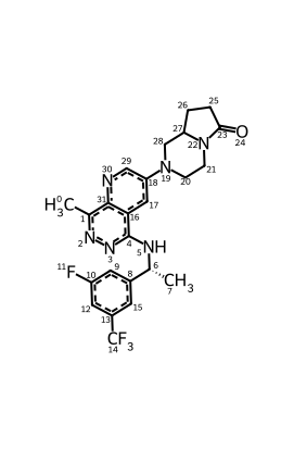 Cc1nnc(N[C@H](C)c2cc(F)cc(C(F)(F)F)c2)c2cc(N3CCN4C(=O)CCC4C3)cnc12